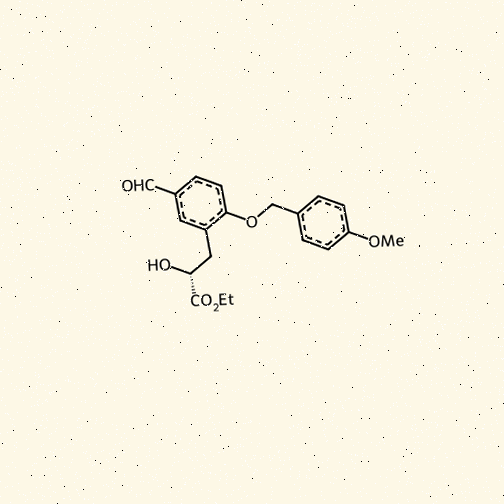 CCOC(=O)[C@H](O)Cc1cc(C=O)ccc1OCc1ccc(OC)cc1